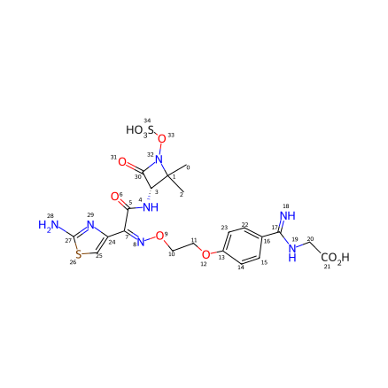 CC1(C)[C@H](NC(=O)C(=NOCCOc2ccc(C(=N)NCC(=O)O)cc2)c2csc(N)n2)C(=O)N1OS(=O)(=O)O